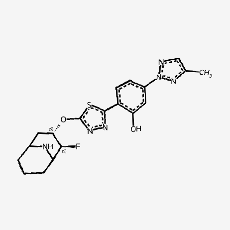 Cc1cnn(-c2ccc(-c3nnc(O[C@H]4CC5CCCC(N5)[C@@H]4F)s3)c(O)c2)n1